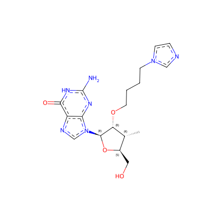 C[C@H]1[C@@H](OCCCCn2ccnc2)[C@H](n2cnc3c(=O)[nH]c(N)nc32)O[C@@H]1CO